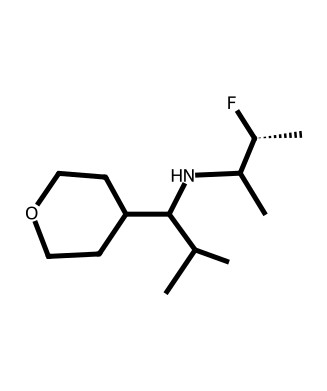 CC(C)C(NC(C)[C@@H](C)F)C1CCOCC1